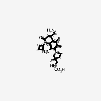 Cc1c(N2CCC(F)(CNC(=O)O)C2)c(F)c(F)c2c(CN)cc(=O)n(C3CCC3)c12